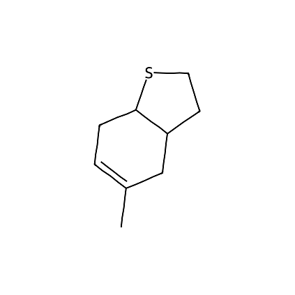 CC1=CCC2SCCC2C1